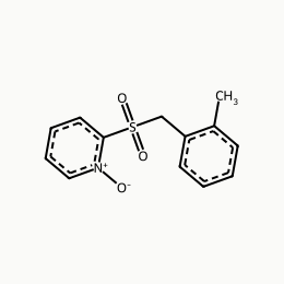 Cc1ccccc1CS(=O)(=O)c1cccc[n+]1[O-]